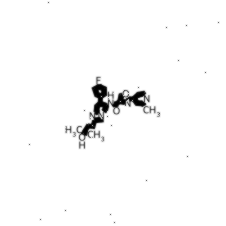 Cc1cc(-c2nc(C(=O)Nc3cn4cc(CCC(C)(C)O)nc4cc3-c3ccc(F)cc3)co2)ccn1